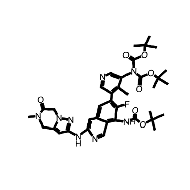 Cc1c(-c2cc3cc(Nc4cc5n(n4)CC(=O)N(C)C5)ncc3c(NC(=O)OC(C)(C)C)c2F)cncc1N(C(=O)OC(C)(C)C)C(=O)OC(C)(C)C